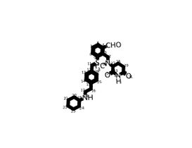 CN(Cc1c(C=O)cccc1SCc1ccc(CCNC2CCCCC2)cc1)C1CCC(=O)NC1=O